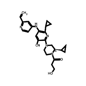 C=Cc1cc(Nc2cc(C#N)c(N3CCN(C(=O)CCO)[C@H](C4CC4)C3)nc2C2CC2)ccn1